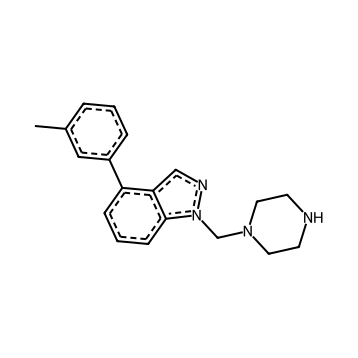 Cc1cccc(-c2cccc3c2cnn3CN2CCNCC2)c1